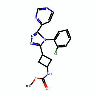 CC(C)(C)OC(=O)NC1CC(c2nnc(-c3ccncn3)n2-c2ccccc2Cl)C1